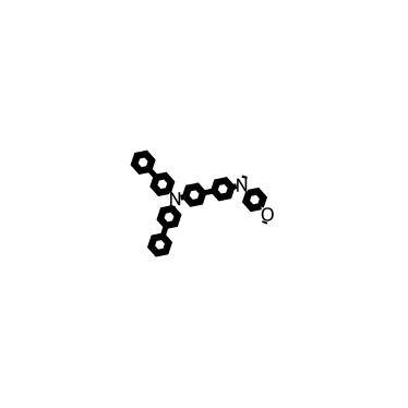 COc1ccc(N(C)c2ccc(-c3ccc(N(c4ccc(-c5ccccc5)cc4)c4ccc(-c5ccccc5)cc4)cc3)cc2)cc1